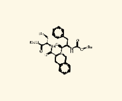 COC(=O)[C@H](CC(C)C)NC(=O)[C@@H]1Cc2ccccc2CN1C(=O)C(Cc1ccccc1)NC(=O)OC(C)(C)C